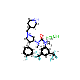 CN(C(=O)N(C)[C@@H]1CN(CC2CCNCC2)C[C@H]1c1ccc(F)cc1)c1cc(C(F)(F)F)cc(C(F)(F)F)c1.Cl.Cl